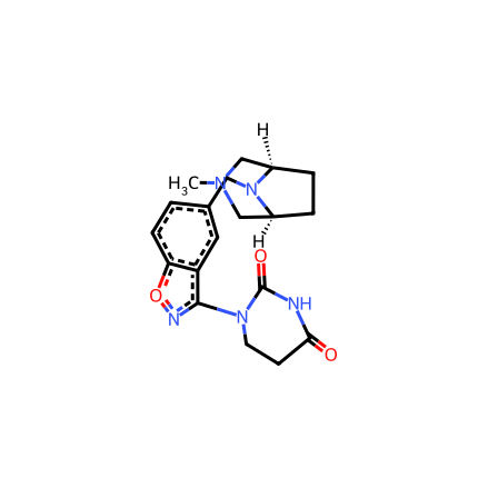 CN1C[C@H]2CC[C@@H](C1)N2Cc1ccc2onc(N3CCC(=O)NC3=O)c2c1